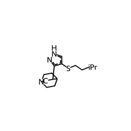 CC(C)CCSc1c[nH]nc1C1CN2CCC1CC2